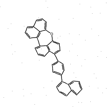 c1ccc2c(-c3ccc(-c4ccc5oc6cccc7cccc(c8cccc4c58)c76)cc3)cccc2c1